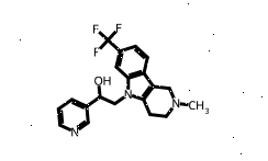 CN1CCc2c(c3ccc(C(F)(F)F)cc3n2CC(O)c2cccnc2)C1